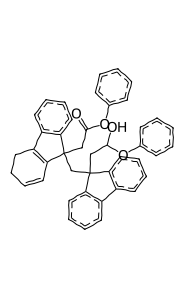 O=C(CC1(CC2(CC(O)Oc3ccccc3)c3ccccc3-c3ccccc32)C2=C(CCC=C2)c2ccccc21)Oc1ccccc1